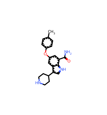 Cc1ccc(Oc2cc(C(N)=O)c3[nH]cc(C4CCNCC4)c3c2)cc1